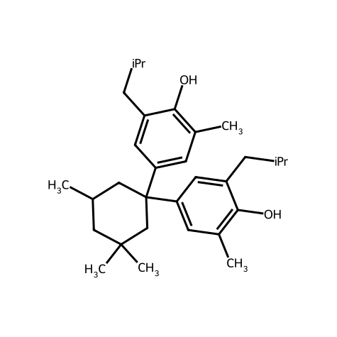 Cc1cc(C2(c3cc(C)c(O)c(CC(C)C)c3)CC(C)CC(C)(C)C2)cc(CC(C)C)c1O